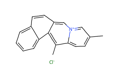 Cc1ccc2c(C)c3c(ccc4ccccc43)c[n+]2c1.[Cl-]